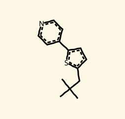 CC(C)(C)Cc1ccc(-c2ccncc2)s1